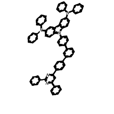 c1ccc(-c2cc(-c3ccc(-c4cccc(-c5ccc(-n6c7ccc(N(c8ccccc8)c8ccccc8)cc7c7cc(N(c8ccccc8)c8ccccc8)ccc76)cc5)c4)cc3)nc(-c3ccccc3)n2)cc1